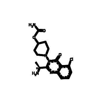 C[C@H](N)c1nc2cccc(Cl)c2c(=O)n1N1CCC(OC(N)=O)CC1